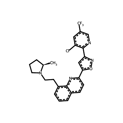 C[C@@H]1CCCN1CCc1cccc2ccc(-c3cc(-c4ncc(C(F)(F)F)cc4Cl)no3)nc12